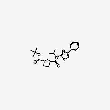 CC(C)N(C(=O)C1CCN(C(=O)OC(C)(C)C)C1)c1nc(-c2ccccc2)cs1